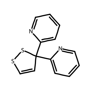 C1=CC(c2ccccn2)(c2ccccn2)SS1